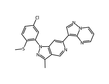 CSc1ccc(Cl)cc1-n1nc(C)c2cnc(-c3cnn4cccnc34)cc21